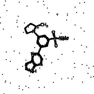 CNS(=O)(=O)c1cc(-c2cnc3[nH]ccc3n2)cc(N2CCC[C@H]2C)c1